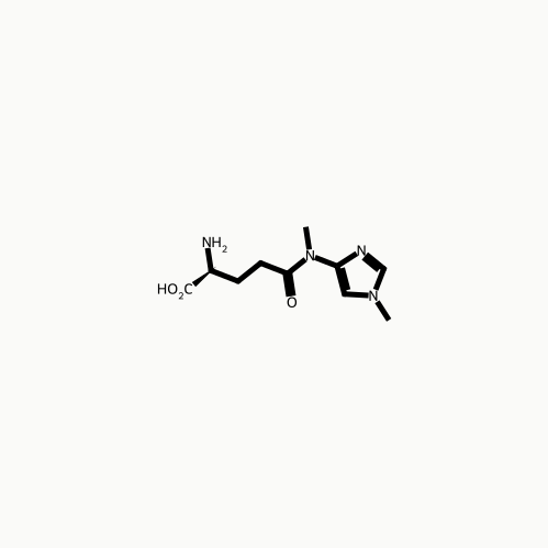 CN(C(=O)CC[C@H](N)C(=O)O)c1cn(C)cn1